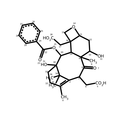 CC1=C2C(CC(=O)O)C(=O)C3(C)C(O)CC4OCC4(CC(=O)O)C3C(OC(=O)c3ccccc3)C(O)(CC1)C2(C)C